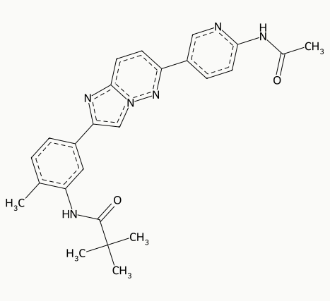 CC(=O)Nc1ccc(-c2ccc3nc(-c4ccc(C)c(NC(=O)C(C)(C)C)c4)cn3n2)cn1